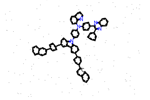 c1ccc(-c2nc3ccccc3nc2-c2ccc(N(c3ccc(-n4c5ccc(-c6ccc(-c7ccc8ccccc8c7)cc6)cc5c5cc(-c6ccc(-c7ccc8ccccc8c7)cc6)ccc54)cc3)c3cccc4cccnc34)cc2)cc1